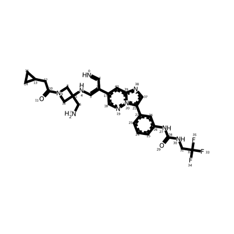 N=C/C(=C\NC1(CN)CN(C(=O)CC2CC2)C1)c1cnn2c(-c3cccc(NC(=O)NCC(F)(F)F)c3)cnc2c1